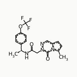 Cc1ccc2cnn(CC(=O)N[C@@H](C)c3ccc(OC(F)(F)F)cc3)c(=O)n12